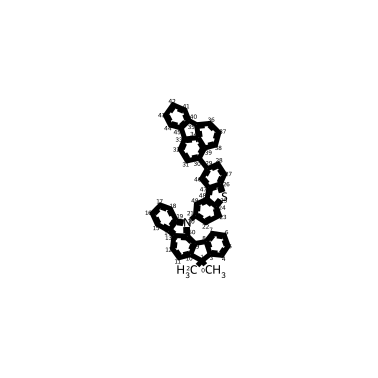 CC1(C)c2ccccc2-c2c1ccc1c3ccccc3n(-c3ccc4sc5ccc(-c6ccc7c8c(cccc68)-c6ccccc6-7)cc5c4c3)c21